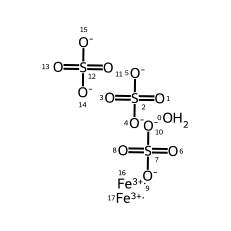 O.O=S(=O)([O-])[O-].O=S(=O)([O-])[O-].O=S(=O)([O-])[O-].[Fe+3].[Fe+3]